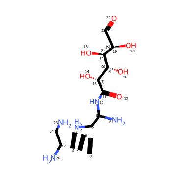 C=C.C=C.C=C.NCC(N)NC(=O)[C@H](O)[C@@H](O)[C@@H](O)[C@H](O)C=O.NCCN